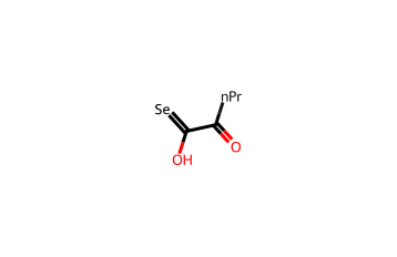 CCCC(=O)C(O)=[Se]